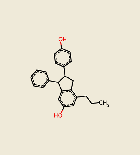 CCCc1cc(O)cc2c1CC(c1ccc(O)cc1)C2c1ccccc1